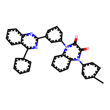 Cc1ccc(-n2c(=O)c(=O)n(-c3cccc(-c4nc(-c5ccccc5)c5ccccc5n4)c3)c3ccccc32)cc1